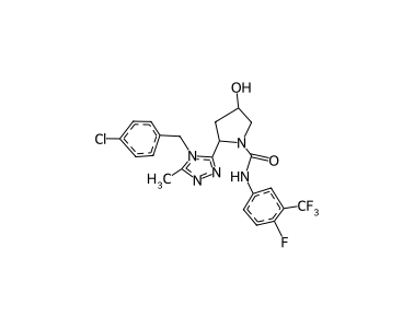 Cc1nnc(C2CC(O)CN2C(=O)Nc2ccc(F)c(C(F)(F)F)c2)n1Cc1ccc(Cl)cc1